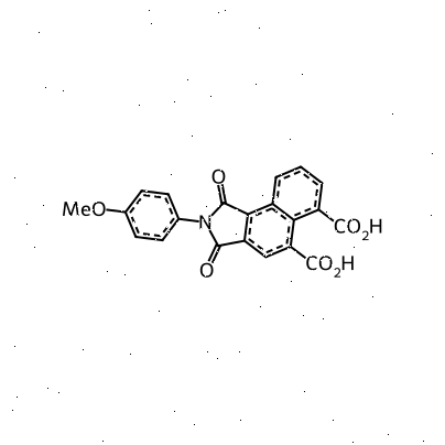 COc1ccc(N2C(=O)c3cc(C(=O)O)c4c(C(=O)O)cccc4c3C2=O)cc1